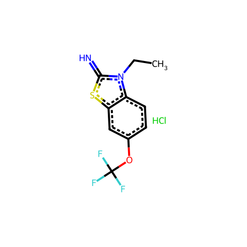 CCn1c(=N)sc2cc(OC(F)(F)F)ccc21.Cl